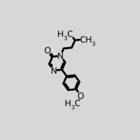 COc1ccc(-c2cn(CCC(C)C)c(=O)cn2)cc1